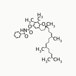 CC(C)=CCCC(C)=CCCC(C)=CCC[C@]1(C)CCc2cc(OC(=O)NC(=O)c3ccccc3)c(C)c(C)c2O1